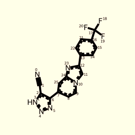 N#Cc1[nH]nnc1-c1ccn2cc(-c3ccc(C(F)(F)F)cc3)nc2c1